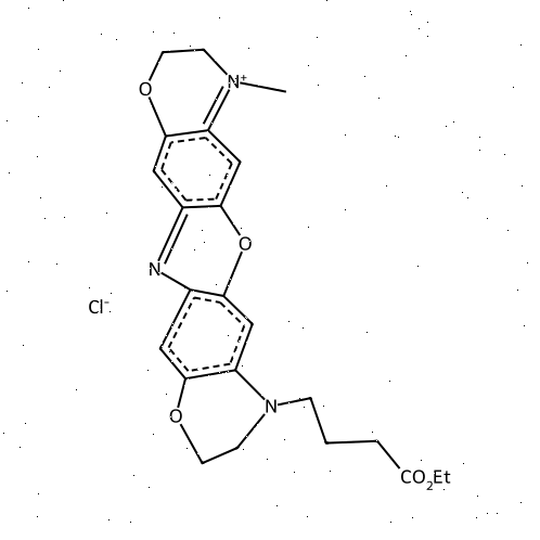 CCOC(=O)CCCN1CCOc2cc3c(cc21)Oc1cc2c(cc1=N3)OCC[N+]=2C.[Cl-]